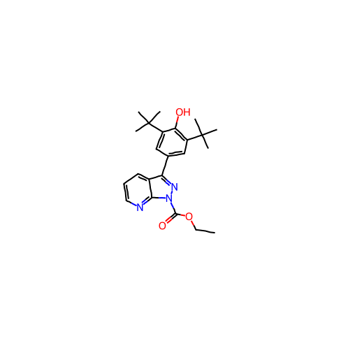 CCOC(=O)n1nc(-c2cc(C(C)(C)C)c(O)c(C(C)(C)C)c2)c2cccnc21